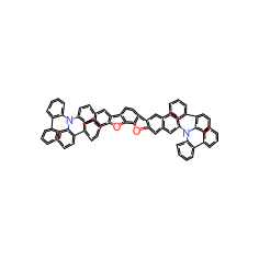 c1ccc(-c2ccccc2N(c2ccc3cc4c(cc3c2)oc2c4ccc3c4cc5ccc(N(c6ccccc6-c6ccccc6)c6ccccc6-c6ccccc6)cc5cc4oc32)c2ccccc2-c2ccccc2)cc1